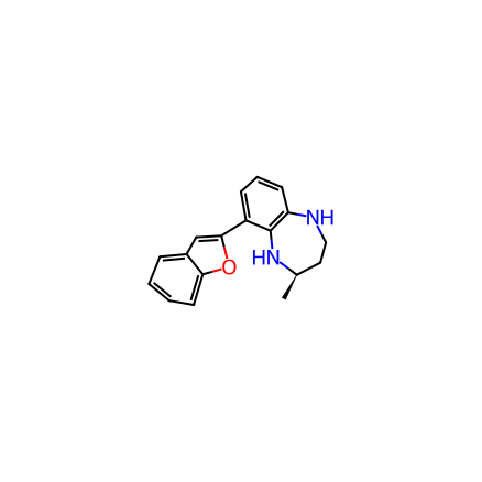 C[C@@H]1CCNc2cccc(-c3cc4ccccc4o3)c2N1